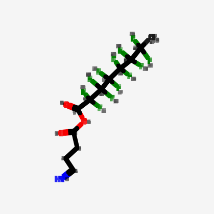 N=CCCC(=O)OC(=O)C(F)(F)C(F)(F)C(F)(F)C(F)(F)C(F)(F)C(F)(F)C(F)(F)F